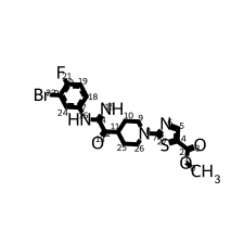 COC(=O)c1cnc(N2CCC(C(=O)C(=N)Nc3ccc(F)c(Br)c3)CC2)s1